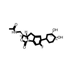 CC(=O)NC[C@@H]1OC(=O)N2c3cc(F)c(C4CC[C@@H](O)[C@@H](O)C4)cc3C[C@@H]12